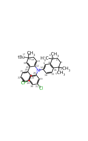 CC1(C)CCC(C)(C)c2cc(N(C3=CCC(C)(C(C)(C)C)C=C3c3ccccc3)c3cc(Cl)cc(Cl)c3)ccc21